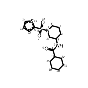 O=C(NC1CCCN(S(=O)(=O)c2cccs2)C1)C1CCCCC1